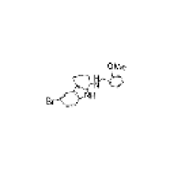 COc1ccccc1CNC1CCCc2c1[nH]c1ccc(Br)cc21